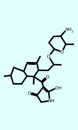 CC1=CC2CC(C)CCC2C(C)(C(=O)C2=C(O)NCC2=O)C1CC(C)OC1CCC(N)C(C)O1